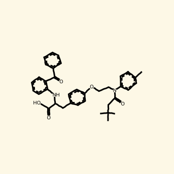 Cc1ccc(N(CCOc2ccc(CC(Nc3ccccc3C(=O)c3ccccc3)C(=O)O)cc2)C(=O)CC(C)(C)C)cc1